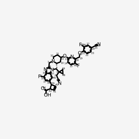 N#CCC1(Cn2c(CN3CCC(Oc4ccc(F)c(COc5ccc(C#N)cc5F)n4)CC3)nc3c(F)cc(C4C#CC4C(=O)O)cc32)CC1